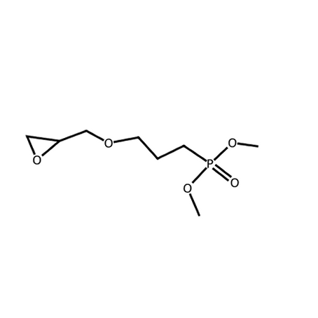 COP(=O)(CCCOCC1CO1)OC